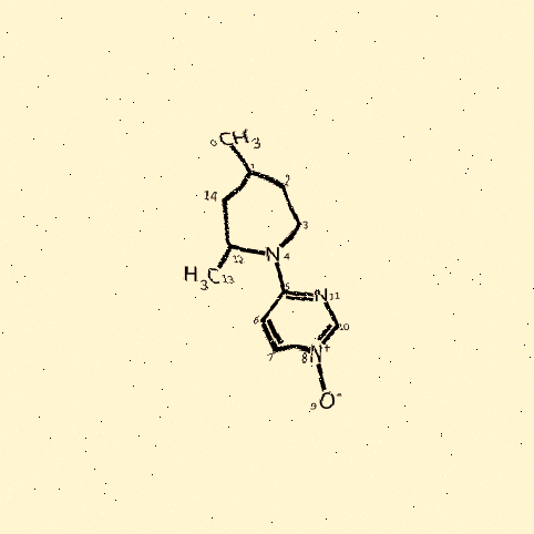 CC1CCN(c2cc[n+]([O-])cn2)C(C)C1